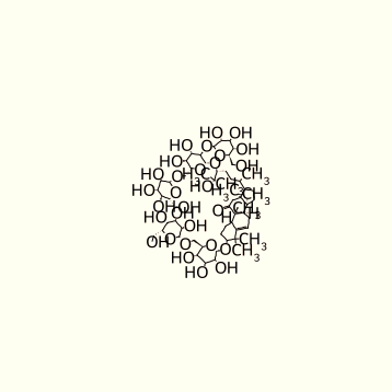 C[C@H](CC[C@@H](O[C@@H]1O[C@H](CO[C@@H]2O[C@H](CO)[C@@H](O)[C@H](O)[C@H]2O)[C@@H](O)[C@H](O)[C@H]1O[C@@H]1O[C@H](CO)[C@@H](O)[C@H](O)[C@H]1O)C(C)(C)O)C1CC[C@@]2(C)[C@H]3CC=C4[C@@H](CC[C@H](O[C@@H]5O[C@H](CO[C@@H]6O[C@H](CO)[C@@H](O)[C@H](O)[C@H]6O)[C@@H](O)[C@H](O)[C@H]5O)C4(C)C)[C@]3(C)C(=O)C[C@]12C